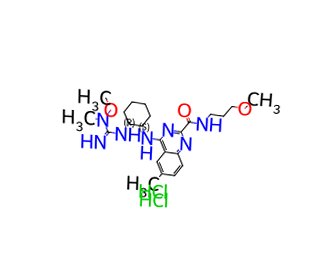 COCCCNC(=O)c1nc(N[C@H]2CCCC[C@H]2NC(=N)N(C)OC)c2cc(C)ccc2n1.Cl.Cl